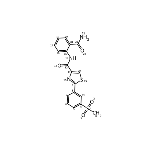 CS(=O)(=O)c1cccc(-c2nc(C(=O)Nc3ccccc3C(N)=O)cs2)c1